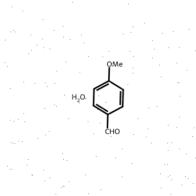 COc1ccc(C=O)cc1.O